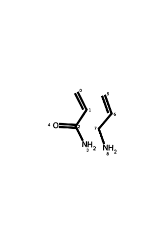 C=CC(N)=O.C=CCN